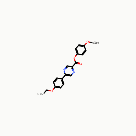 CCCCCCCCCCCOc1ccc(-c2cnc(C(=O)Oc3ccc(OCCCCCCCC)cc3)cn2)cc1